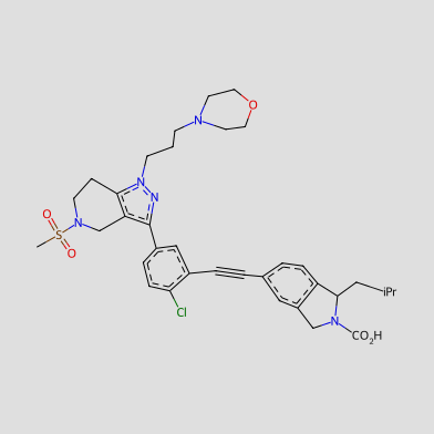 CC(C)CC1c2ccc(C#Cc3cc(-c4nn(CCCN5CCOCC5)c5c4CN(S(C)(=O)=O)CC5)ccc3Cl)cc2CN1C(=O)O